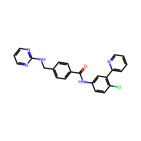 O=C(Nc1ccc(Cl)c(-c2ccccn2)c1)c1ccc(CNc2ncccn2)cc1